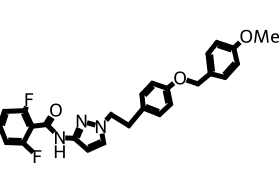 COc1ccc(COc2ccc(CCn3ccc(NC(=O)c4c(F)cccc4F)n3)cc2)cc1